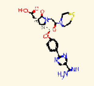 N=C(N)c1cnc(-c2ccc(OC[C@@H]3C[C@@H](CC(=O)O)C(=O)N3CC(=O)N3CCSCC3)cc2)nc1